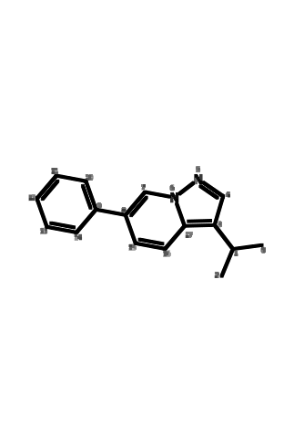 CC(C)c1cnn2cc(-c3ccccc3)ccc12